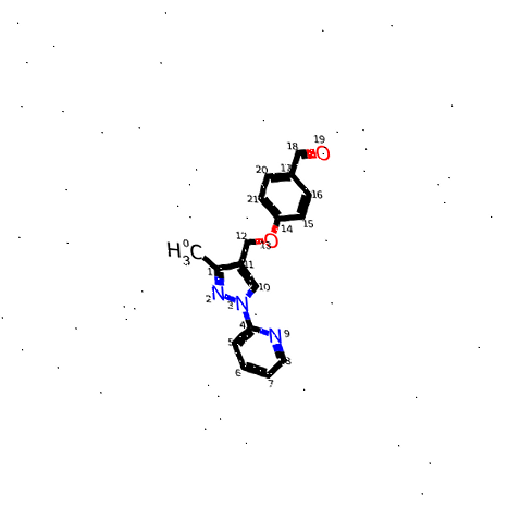 Cc1nn(-c2ccccn2)cc1COc1ccc(C=O)cc1